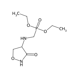 CCOP(=O)(CNC1CONC1=O)OCC